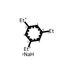 CCc1[c]c(CC)cc(CC)c1.[NaH]